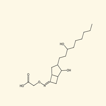 CCCCCCC(O)CCC1CC2/C(=N\OCC(=O)O)CC2C1O